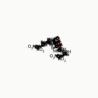 CC(C)(NC(=O)C(Br)C(C)(C)C)c1ccccc1.CN(C)C(=O)Nc1ccc(Br)cc1.CN(C)C(=O)Nc1ccc(Br)cc1.N#Cc1cc(Br)c(O)c(Br)c1.N#Cc1cc(Br)c(O)c(Br)c1.O=[N+]([O-])c1ccc(O/N=C/c2cc(Br)c(O)c(Br)c2)c([N+](=O)[O-])c1.O=[N+]([O-])c1ccc(O/N=C/c2cc(Br)c(O)c(Br)c2)c([N+](=O)[O-])c1